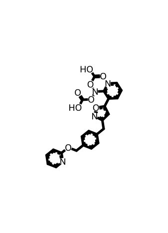 O=C(O)ON(OC(=O)O)c1ncccc1-c1cc(Cc2ccc(COc3ccccn3)cc2)no1